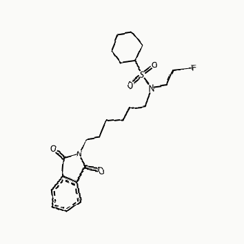 O=C1c2ccccc2C(=O)N1CCCCCCN(CCF)S(=O)(=O)C1CCCCC1